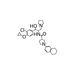 O=C(N[C@H](CN1CCCC1)[C@H](O)c1ccc(OC2CC2)c(Cl)c1)[C@@H]1CCN(c2ccc3c(c2)CCCC3)C1